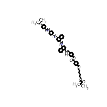 C=C(C)C(=O)OCCCCCCOc1ccc(C(=O)Oc2ccc(CNc3ccc(/N=N/c4ccc(/N=N/c5ccc(/N=N/c6ccc(N(CC)CC)cc6)cc5)c5ccccc45)c4ccccc34)cc2)cc1